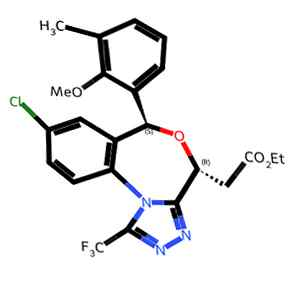 CCOC(=O)C[C@H]1O[C@H](c2cccc(C)c2OC)c2cc(Cl)ccc2-n2c1nnc2C(F)(F)F